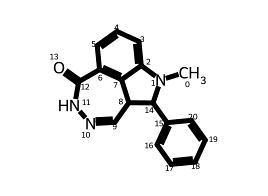 CN1c2cccc3c2C(C=NNC3=O)C1c1ccccc1